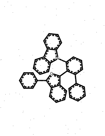 c1ccc(-c2cccc(-n3c4ccccc4c4ccccc43)c2-c2oc(-c3ccccc3)c3ccccc23)cc1